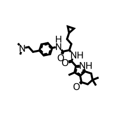 Cc1c(C(=O)NC(CCC2CC2)C(=O)Nc2ccc(CCN(C)C)cc2)[nH]c2c1C(=O)CC(C)(C)C2